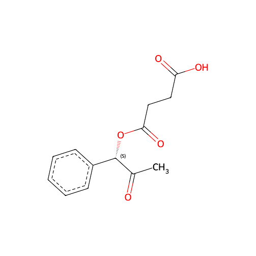 CC(=O)[C@@H](OC(=O)CCC(=O)O)c1ccccc1